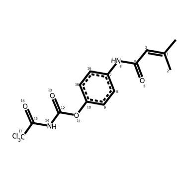 CC(C)=CC(=O)Nc1ccc(OC(=O)NC(=O)C(Cl)(Cl)Cl)cc1